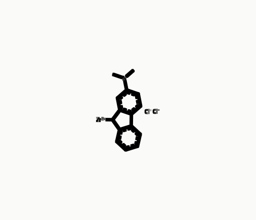 CN(C)c1ccc2c(c1)[CH]([Zr+2])c1ccccc1-2.[Cl-].[Cl-]